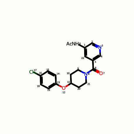 CC(=O)Nc1cncc(C(=O)N2CCC(Oc3ccc(Cl)cc3)CC2)c1